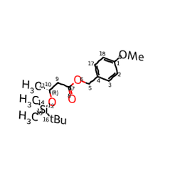 COc1ccc(COC(=O)C[C@@H](C)O[Si](C)(C)C(C)(C)C)cc1